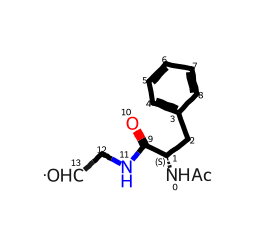 CC(=O)N[C@@H](Cc1ccccc1)C(=O)NC[C]=O